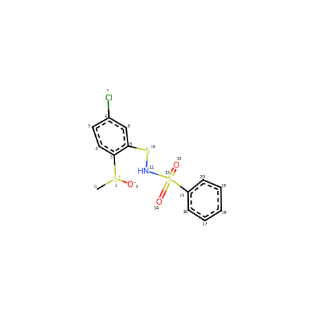 C[S+]([O-])c1ccc(Cl)cc1SNS(=O)(=O)c1ccccc1